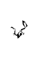 COC(=O)c1ccnn1CCn1ccnc1